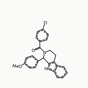 COc1ccc(C2c3[nH]c4ccccc4c3CCN2C(=O)c2ccc(Cl)cc2)cc1